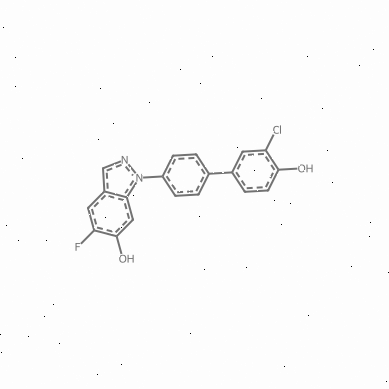 Oc1cc2c(cnn2-c2ccc(-c3ccc(O)c(Cl)c3)cc2)cc1F